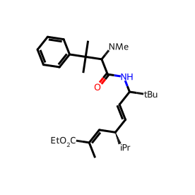 CCOC(=O)/C(C)=C/[C@@H](/C=C/C(NC(=O)C(NC)C(C)(C)c1ccccc1)C(C)(C)C)C(C)C